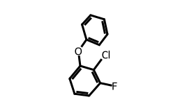 Fc1cccc(Oc2ccccc2)c1Cl